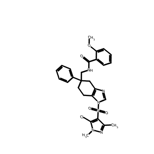 COc1ccccc1C(=O)NCC1(c2ccccc2)CCc2c(ncn2S(=O)(=O)c2c(C)nn(C)c2Cl)C1